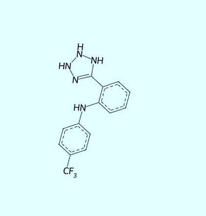 FC(F)(F)c1ccc(Nc2ccccc2C2=NNNN2)cc1